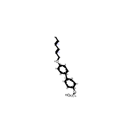 C/C=C/C=C/COc1ccc(-c2ccc(OCCCCCCCC)cc2)cc1